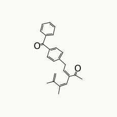 C=C(C)C(C)=CC(=CCc1ccc(C(=O)c2ccccc2)cc1)C(C)=O